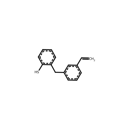 C=Cc1cccc(Cc2ccccc2S)c1